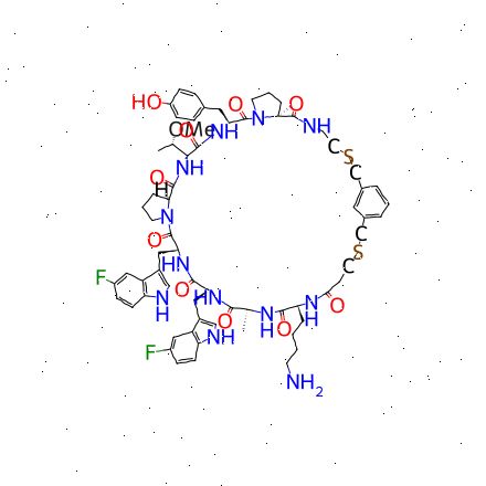 CO[C@@H](C)[C@@H]1NC(=O)[C@@H]2CCCN2C(=O)[C@H](Cc2c[nH]c3ccc(F)cc23)NC(=O)[C@H](Cc2c[nH]c3ccc(F)cc23)NC(=O)[C@@H](C)NC(=O)[C@H](CCCCN)NC(=O)CCSCc2cccc(c2)CSCCNC(=O)[C@]2(C)CCCN2C(=O)[C@H](Cc2ccc(O)cc2)NC1=O